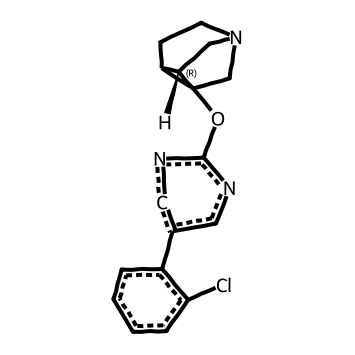 Clc1ccccc1-c1cnc(O[C@H]2CN3CCC2CC3)nc1